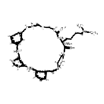 CN(C)CCCC[C@@H]1NC(=O)CCCCNCc2cccc(c2)Nc2cc(ncn2)Nc2cccc(c2)CN2CCN(CC2)C1=O